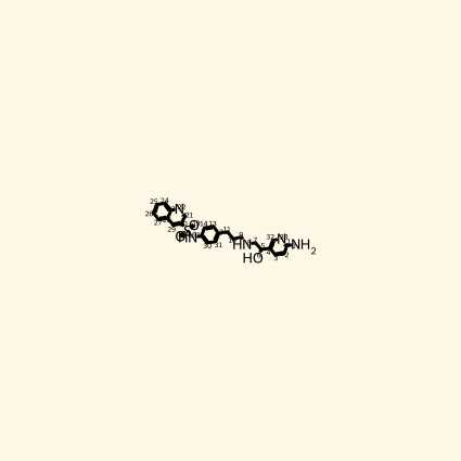 Nc1ccc(C(O)CNCCCc2ccc(NS(=O)(=O)c3cnc4ccccc4c3)cc2)cn1